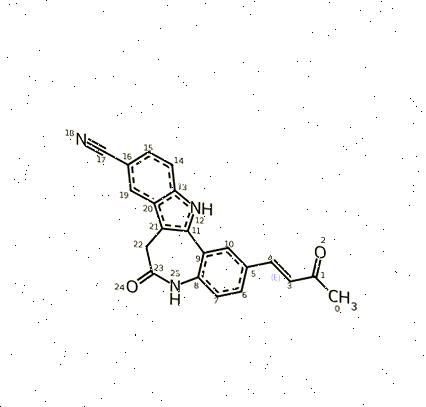 CC(=O)/C=C/c1ccc2c(c1)-c1[nH]c3ccc(C#N)cc3c1CC(=O)N2